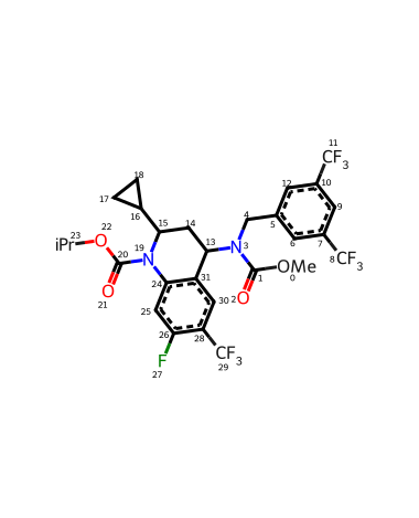 COC(=O)N(Cc1cc(C(F)(F)F)cc(C(F)(F)F)c1)C1CC(C2CC2)N(C(=O)OC(C)C)c2cc(F)c(C(F)(F)F)cc21